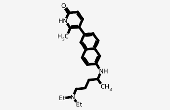 CCN(CC)CCCC(C)Nc1ccc2cc(-c3ccc(=O)[nH]c3C)ccc2c1